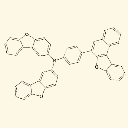 c1ccc2c(c1)cc(-c1ccc(N(c3ccc4oc5ccccc5c4c3)c3ccc4oc5ccccc5c4c3)cc1)c1oc3ccccc3c12